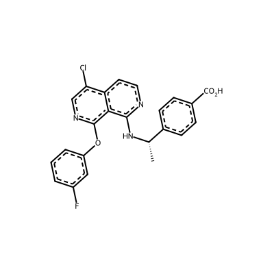 C[C@H](Nc1nccc2c(Cl)cnc(Oc3cccc(F)c3)c12)c1ccc(C(=O)O)cc1